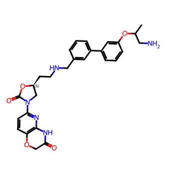 CC(CN)Oc1cccc(-c2cccc(CNCC[C@H]3CN(c4ccc5c(n4)NC(=O)CO5)C(=O)O3)c2)c1